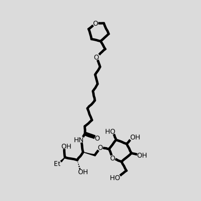 CC[C@@H](O)[C@@H](O)[C@H](COC1OC(CO)C(O)C(O)C1O)NC(=O)CCCCCCCCOCC1CCOCC1